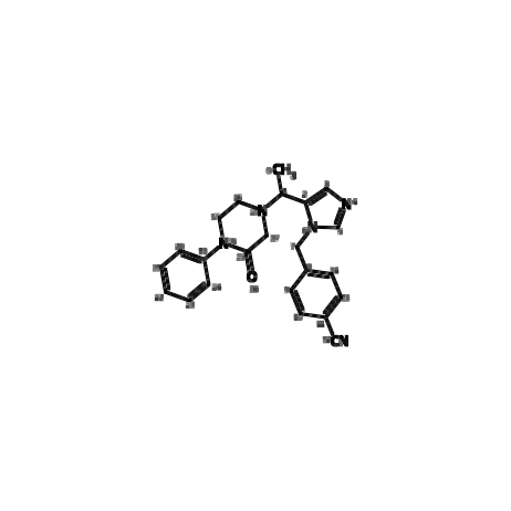 CC(c1cncn1Cc1ccc(C#N)cc1)N1CCN(c2ccccc2)C(=O)C1